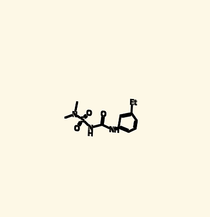 CCc1cccc(NC(=O)NS(=O)(=O)N(C)C)c1